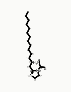 CCCCCCCCCCCCCCC1=NCCN1C(C)N